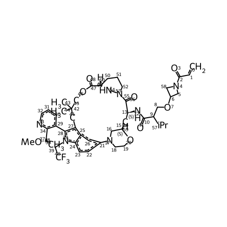 C=CC(=O)N1CC(OCC(C(=O)N[C@H]2C[C@H]3CN(CCO3)c3ccc4c(c3)c(c(-c3cccnc3[C@H](C)OC)n4CC(F)(F)F)CC(C)(C)COC(=O)[C@@H]3CCCN(N3)C2=O)C(C)C)C1